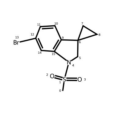 CS(=O)(=O)N1CC2(CC2)c2ccc(Br)cc21